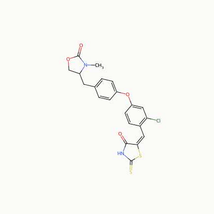 CN1C(=O)OCC1Cc1ccc(Oc2ccc(C=C3SC(=S)NC3=O)c(Cl)c2)cc1